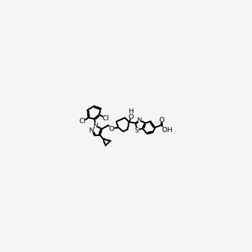 O=C(O)c1ccc2sc(C3(O)CCC(OCc4c(C5CC5)cnn4-c4c(Cl)cccc4Cl)CC3)nc2c1